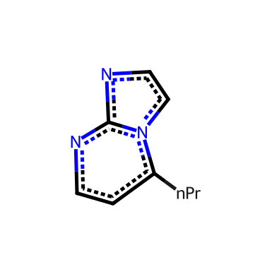 CCCc1ccnc2nccn12